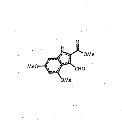 COC(=O)c1[nH]c2cc(OC)cc(OC)c2c1C=O